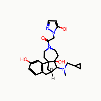 CN(CC1CC1)C1[C@@H]2Cc3ccc(O)cc3C3(CCN(C(=O)Cn4nccc4O)CCC13O)C2